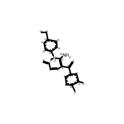 C=C/C=C\C(C(=C)c1ccc(C)c(C)c1)=C(\N)N(C)c1ccc(CC)cc1